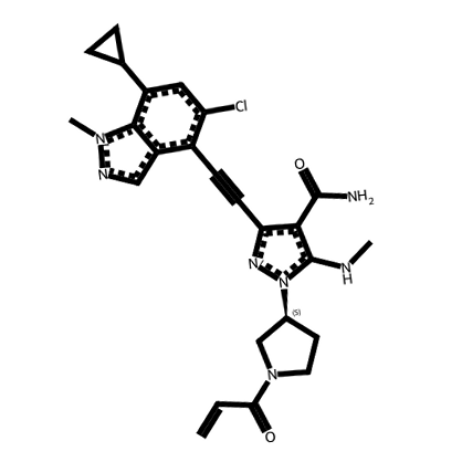 C=CC(=O)N1CC[C@H](n2nc(C#Cc3c(Cl)cc(C4CC4)c4c3cnn4C)c(C(N)=O)c2NC)C1